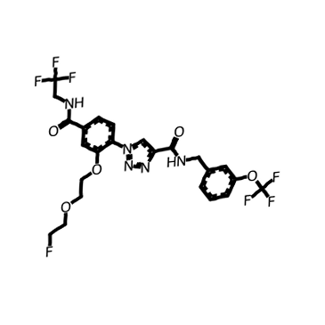 O=C(NCC(F)(F)F)c1ccc(-n2cc(C(=O)NCc3cccc(OC(F)(F)F)c3)nn2)c(OCCOCCF)c1